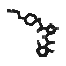 COCCN1CCC(NC(=O)c2n[nH]cc2NC(=O)c2c(F)cccc2F)CC1